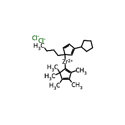 CCCC[C]1([Zr+2][C]2=C(C)C(C)=C(C)C2(C)C)C=CC(C2CCCC2)=C1.[Cl-].[Cl-]